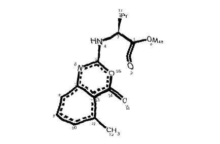 COC(=O)[C@@H](Nc1nc2cccc(C)c2c(=O)o1)C(C)C